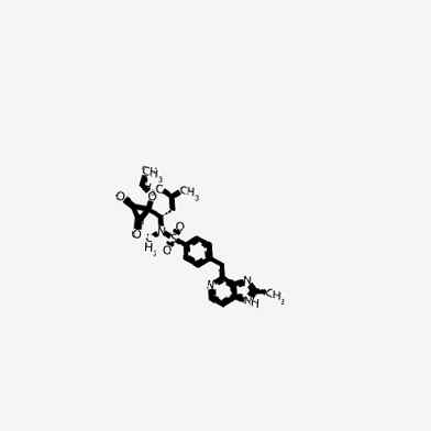 CCOC1([C@H](CC(C)C)N(C)S(=O)(=O)c2ccc(Cc3nccc4[nH]c(C)nc34)cc2)C(=O)C1=O